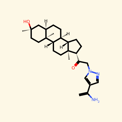 C=C(N)c1cnn(CC(=O)[C@H]2CC[C@H]3[C@@H]4CC[C@@H]5C[C@](C)(O)CC[C@]5(C)[C@H]4CC[C@]23C)c1